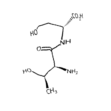 C[C@@H](O)[C@H](N)C(=O)N[C@H](CO)C(=O)O